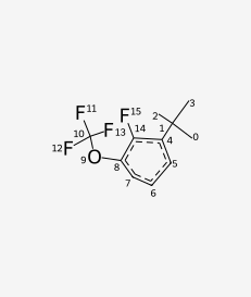 CC(C)(C)c1cccc(OC(F)(F)F)c1F